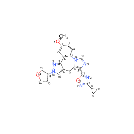 COc1ccc2c(c1)-c1nn(C3CCOC3)cc1Cc1c(-c3nc(C4CC4)no3)ncn1-2